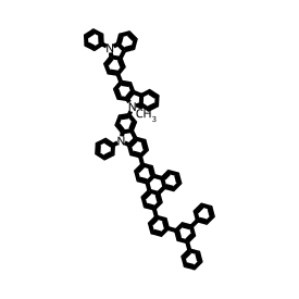 CC12C=CC=CC1c1cc(-c3ccc4c(c3)c3ccccc3n4-c3ccccc3)ccc1N2c1ccc2c(c1)c1ccc(-c3ccc4c5ccc(-c6cccc(-c7cc(-c8ccccc8)cc(-c8ccccc8)c7)c6)cc5c5ccccc5c4c3)cc1n2-c1ccccc1